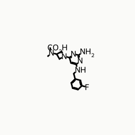 CN(C(=O)O)C1CN(c2cc(NCc3cccc(F)c3)nc(N)n2)C1